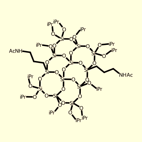 CC(=O)NCCC[Si]12O[Si](OC(C)C)(OC(C)C)O[Si]3(OC(C)C)O[Si](OC(C)C)(OC(C)C)O[Si]4(OC(C)C)O[Si]5(CCCNC(C)=O)O[Si](OC(C)C)(OC(C)C)O[Si]6(OC(C)C)O[Si](OC(C)C)(OC(C)C)O[Si](OC(C)C)(O1)O[Si](O5)(O6)O[Si](O2)(O4)O3